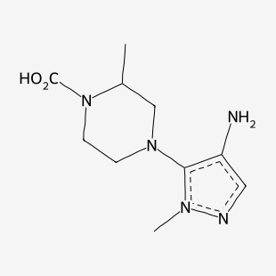 CC1CN(c2c(N)cnn2C)CCN1C(=O)O